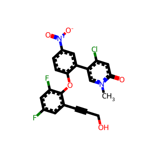 Cn1cc(-c2cc([N+](=O)[O-])ccc2Oc2c(F)cc(F)cc2C#CCO)c(Cl)cc1=O